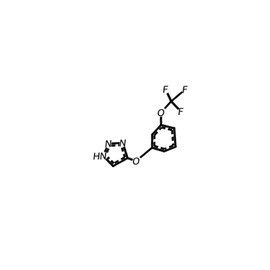 FC(F)(F)Oc1cccc(Oc2c[nH]nn2)c1